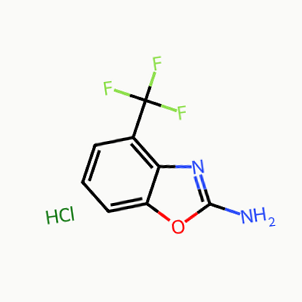 Cl.Nc1nc2c(C(F)(F)F)cccc2o1